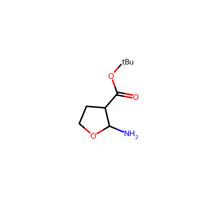 CC(C)(C)OC(=O)C1CCOC1N